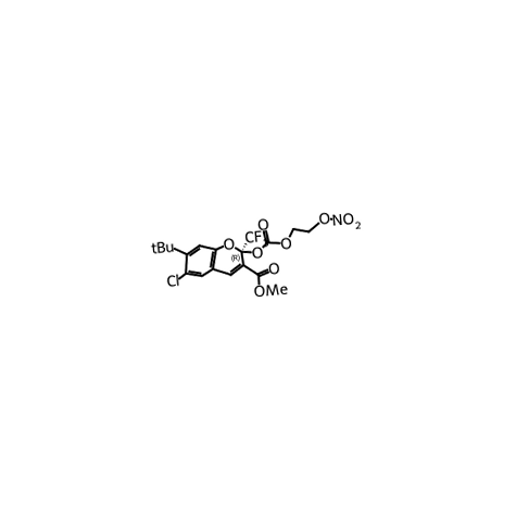 COC(=O)C1=Cc2cc(Cl)c(C(C)(C)C)cc2O[C@]1(OC(=O)OCCO[N+](=O)[O-])C(F)(F)F